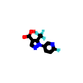 O=C(O)c1cnn(-c2ccc(F)nc2)c1C(F)(F)F